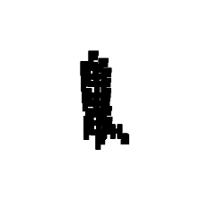 FC(F)(F)C(F)(F)C(F)(F)C(F)(F)C(F)(F)C(F)(F)C(F)(F)C(F)(F)P